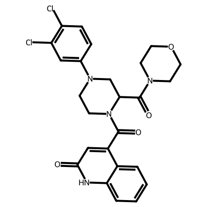 O=C(C1CN(c2ccc(Cl)c(Cl)c2)CCN1C(=O)c1cc(=O)[nH]c2ccccc12)N1CCOCC1